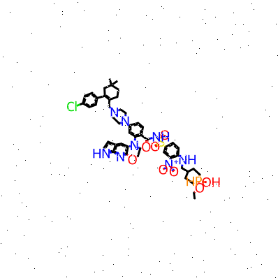 CCO[PH]1(O)CCC(CNc2ccc(S(=O)(=O)NC(=O)c3ccc(N4CCN(CC5=C(c6ccc(Cl)cc6)CC(C)(C)CC5)CC4)cc3N3CCOc4nc5[nH]ccc5cc43)cc2[N+](=O)[O-])CC1